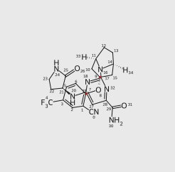 N#Cc1cc(C(F)(F)F)ccc1O[C@@H]1C[C@H]2CC[C@@H](C1)N2c1nc(N[C@H]2CCNC2=O)cc(C(N)=O)n1